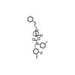 Cc1cccc(N(Cc2ccc(F)c(F)c2)C(=O)O[C@H]2C[N+]3(CCSc4ccccc4)CCC2CC3)c1